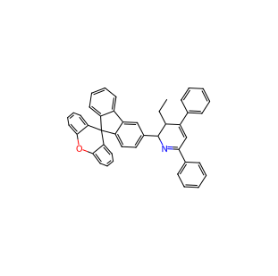 CCC1C(c2ccccc2)=CC(c2ccccc2)=NC1c1ccc2c(c1)-c1ccccc1C21c2ccccc2Oc2ccccc21